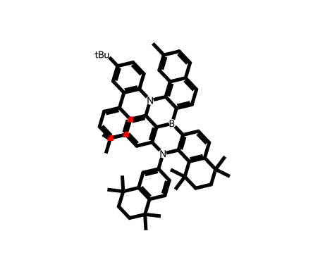 C=C(C)c1cc2c3c(c1)N(c1ccc(C(C)(C)C)cc1-c1ccccc1)c1c(ccc4ccc(C)cc14)B3c1ccc3c(c1N2c1ccc2c(c1)C(C)(C)CCC2(C)C)C(C)(C)CCC3(C)C